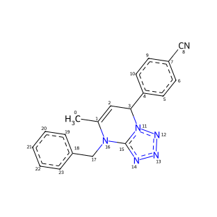 CC1=CC(c2ccc(C#N)cc2)n2nnnc2N1Cc1ccccc1